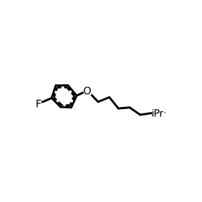 C[C](C)CCCCCOc1ccc(F)cc1